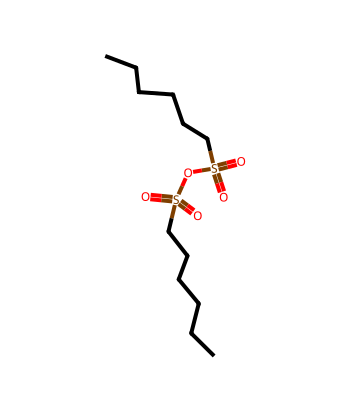 CCCCCCS(=O)(=O)OS(=O)(=O)CCCCCC